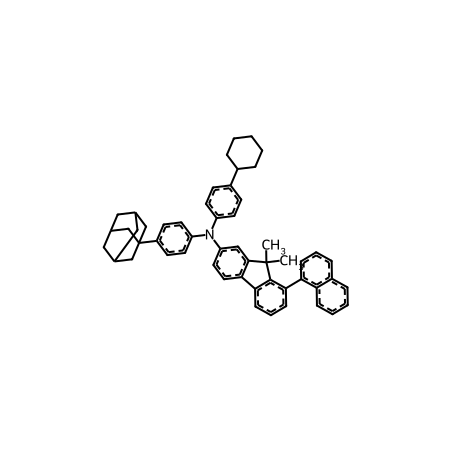 CC1(C)c2cc(N(c3ccc(C4CCCCC4)cc3)c3ccc(C45CC6CC(CC(C6)C4)C5)cc3)ccc2-c2cccc(-c3cccc4ccccc34)c21